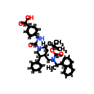 C[C@H](c1cccc2ccccc12)N(CC1CCN(C(=O)Nc2ccc(C(=O)O)cc2)CC1c1ccccc1)C(=O)OC(C)(C)C